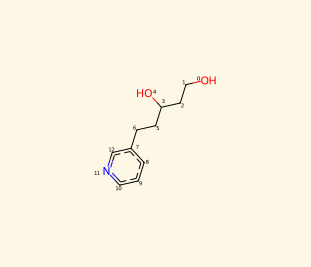 OCCC(O)CCc1cccnc1